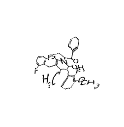 COc1cccc(C2=C(C)C(Cc3c(F)cccc3F)=C3SCC(C(=O)c4ccccc4)N3C2O)c1F